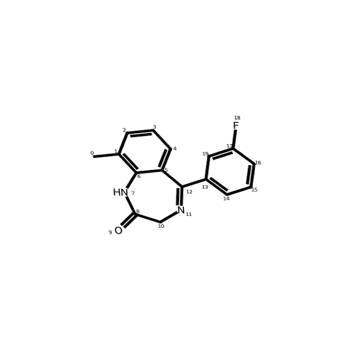 Cc1cccc2c1NC(=O)CN=C2c1cccc(F)c1